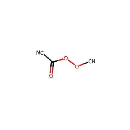 N#COOC(=O)C#N